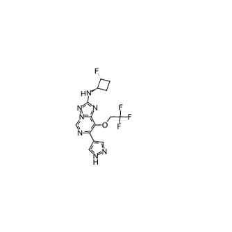 F[C@@H]1CC[C@H]1Nc1nc2c(OCC(F)(F)F)c(-c3cn[nH]c3)ncn2n1